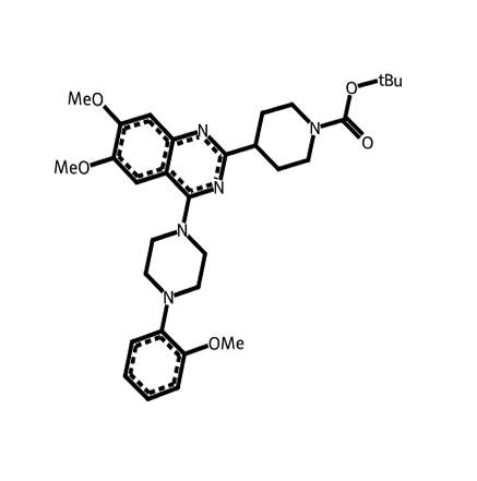 COc1cc2nc(C3CCN(C(=O)OC(C)(C)C)CC3)nc(N3CCN(c4ccccc4OC)CC3)c2cc1OC